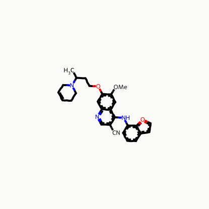 COc1cc2c(Nc3cccc4ccoc34)c(C#N)cnc2cc1OCCC(C)N1CC=CCC1